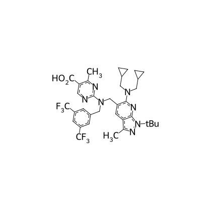 Cc1nc(N(Cc2cc(C(F)(F)F)cc(C(F)(F)F)c2)Cc2cc3c(C)nn(C(C)(C)C)c3nc2N(CC2CC2)CC2CC2)ncc1C(=O)O